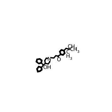 CC(C)(C)Cc1ccc(C(=O)CCCN2CCC(C(O)(c3ccccc3)c3ccccc3)CC2)cc1